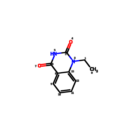 CCn1c(=O)[nH]c(=O)c2ccccc21